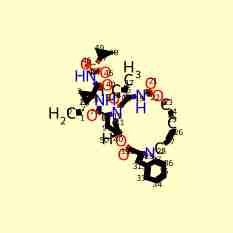 C=C[C@@H]1C[C@]1(NC(=O)[C@@H]1C[C@@H]2CN1C(=O)[C@H](C(C)C)NC(=O)OCCCC=CCn1c(cc3ccccc31)C(=O)O2)C(=O)NS(=O)(=O)C1CC1